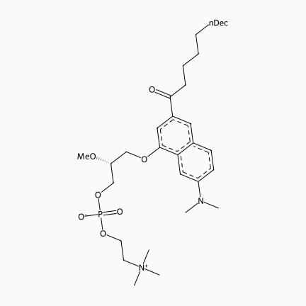 CCCCCCCCCCCCCCC(=O)c1cc(OC[C@H](COP(=O)([O-])OCC[N+](C)(C)C)OC)c2cc(N(C)C)ccc2c1